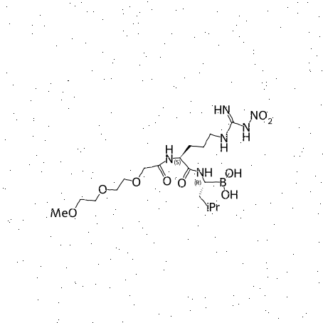 COCCOCCOCC(=O)N[C@@H](CCCNC(=N)N[N+](=O)[O-])C(=O)N[C@@H](CC(C)C)B(O)O